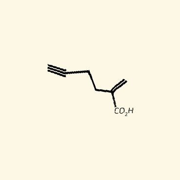 C#CCCC(=C)C(=O)O